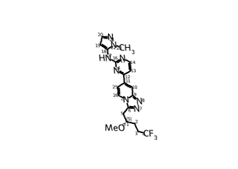 CO[C@@H](CCC(F)(F)F)Cc1nnc2cc(-c3ccnc(Nc4ccnn4C)n3)ccn12